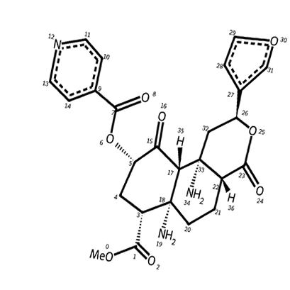 COC(=O)[C@@H]1C[C@H](OC(=O)c2ccncc2)C(=O)[C@H]2[C@@]1(N)CC[C@H]1C(=O)O[C@H](c3ccoc3)C[C@]21N